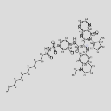 CCCCCCCCCCCCC(=O)NS(=O)(=O)c1ccc(NC(=O)/C(=N\c2ccc3c(c2)CCCN3CC)c2nc3nccnc3c(=O)n2C2=CC=CC2C)c(Cl)c1